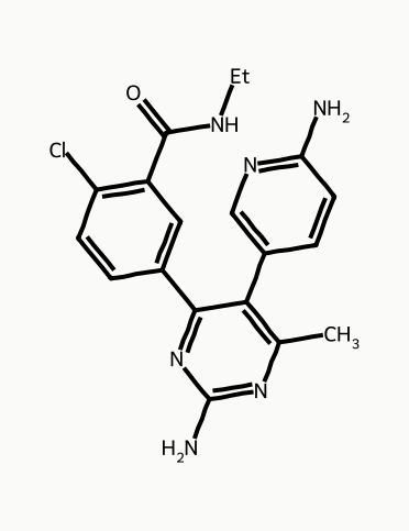 CCNC(=O)c1cc(-c2nc(N)nc(C)c2-c2ccc(N)nc2)ccc1Cl